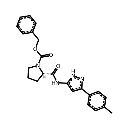 Cc1ccc(-c2cc(NC(=O)[C@@H]3CCCN3C(=O)OCc3ccccc3)[nH]n2)cc1